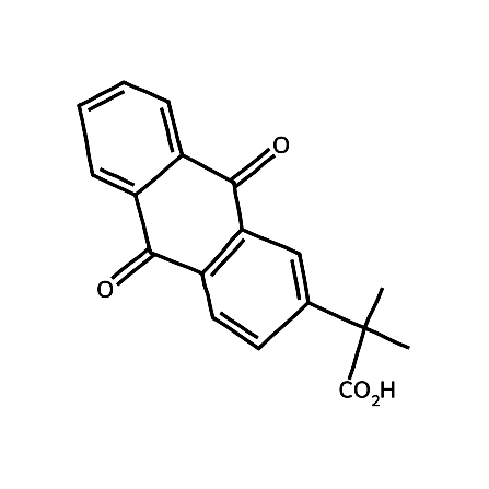 CC(C)(C(=O)O)c1ccc2c(c1)C(=O)c1ccccc1C2=O